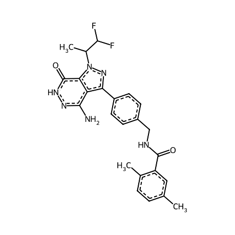 Cc1ccc(C)c(C(=O)NCc2ccc(-c3nn(C(C)C(F)F)c4c(=O)[nH]nc(N)c34)cc2)c1